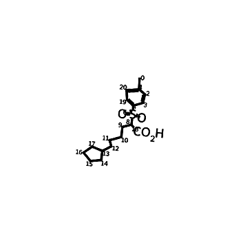 Cc1ccc(S(=O)(=O)C(CCCCC2CCCC2)C(=O)O)cc1